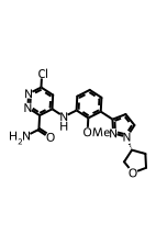 COc1c(Nc2cc(Cl)nnc2C(N)=O)cccc1-c1ccn([C@@H]2CCOC2)n1